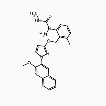 COc1nc2ccccc2cc1-n1ccc(OCc2c(C)cccc2N(N)C(=O)NN)n1